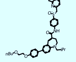 CCCCOCCOc1ccc(-c2ccc3c(c2)C=C(C(=O)Nc2ccc([S+]([O-])Cc4cccc(C)n4)cc2)CCN3CC(C)C)cc1